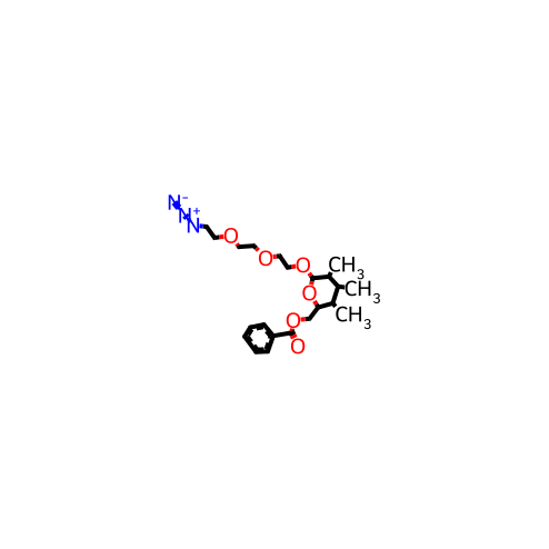 CC1C(COC(=O)c2ccccc2)OC(OCCOCCOCCN=[N+]=[N-])C(C)C1C